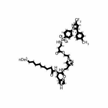 CCCCCCCCCCCCCCCCCCC(=O)NC(Cc1c[nH]cn1)C(=O)NCc1cn(CCOC(=O)CCNS(=O)(=O)c2ccc(-n3nc(C(F)(F)F)cc3-c3ccc(C)cc3)cc2)nn1